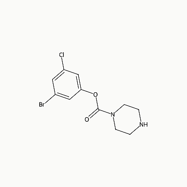 O=C(Oc1cc(Cl)cc(Br)c1)N1CCNCC1